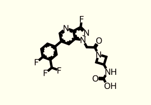 O=C(O)NC1CN(C(=O)Cn2nc(F)c3ncc(-c4ccc(F)c(C(F)F)c4)cc32)C1